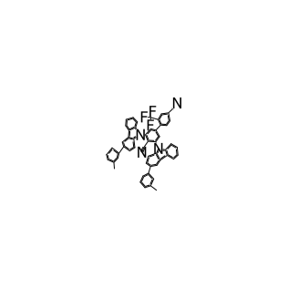 Cc1cccc(-c2ccc3c(c2)c2ccccc2n3-c2cc(-c3ccc(C#N)cc3C(F)(F)F)cc(-n3c4ccccc4c4cc(-c5cccc(C)c5)ccc43)c2C#N)c1